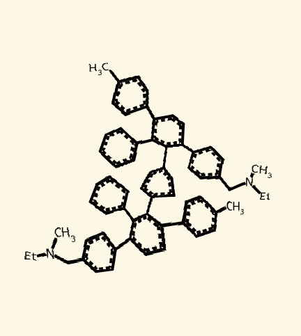 CCN(C)Cc1ccc(-c2ccc(-c3ccc(C)cc3)c(-c3ccc(-c4c(-c5ccc(CN(C)CC)cc5)ccc(-c5ccc(C)cc5)c4-c4ccccc4)cc3)c2-c2ccccc2)cc1